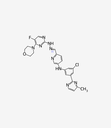 Cc1ccnc(-c2cc(Cl)cc(Nc3ccc(/C=N/Nc4ncc(F)c(N5CCOCC5)n4)nc3)c2)n1